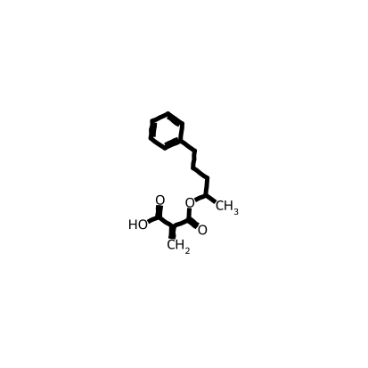 C=C(C(=O)O)C(=O)OC(C)CCCc1ccccc1